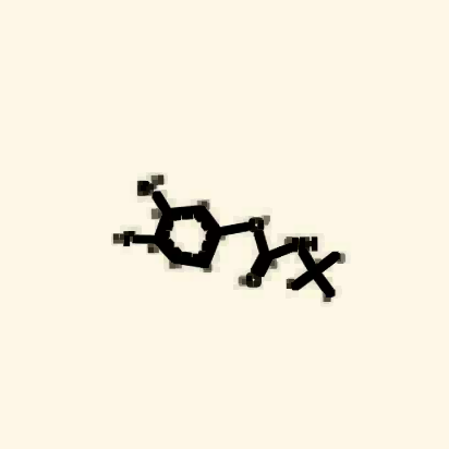 CC(C)(C)NC(=O)Oc1ccc(F)c(Br)c1